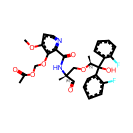 COc1ccnc(C(=O)N[C@@](C)(C=O)CO[C@@H](C)C(O)(c2ccccc2F)c2ccccc2F)c1OCOC(C)=O